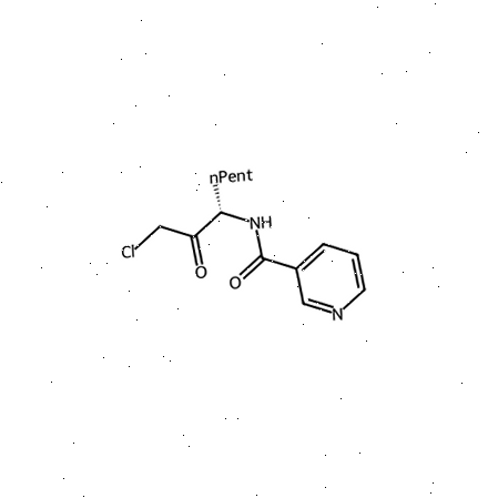 CCCCC[C@H](NC(=O)c1cccnc1)C(=O)CCl